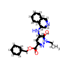 CCn1nc(C(=O)OCc2ccccc2)cc(Nc2cncc3ccccc23)c1=O